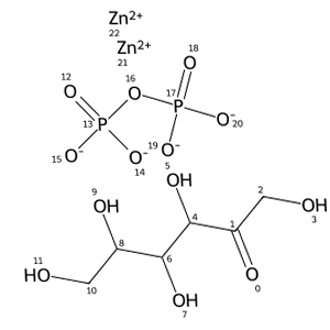 O=C(CO)C(O)C(O)C(O)CO.O=P([O-])([O-])OP(=O)([O-])[O-].[Zn+2].[Zn+2]